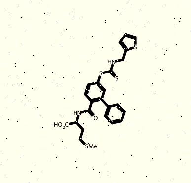 CSCCC(NC(=O)c1ccc(SC(=S)NCc2cccs2)cc1-c1ccccc1)C(=O)O